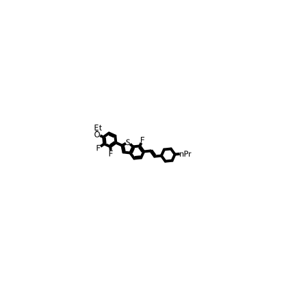 CCCC1CCC(/C=C/c2ccc3cc(-c4ccc(OCC)c(F)c4F)sc3c2F)CC1